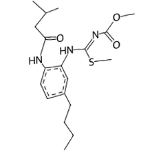 CCCCc1ccc(NC(=O)CC(C)C)c(NC(=NC(=O)OC)SC)c1